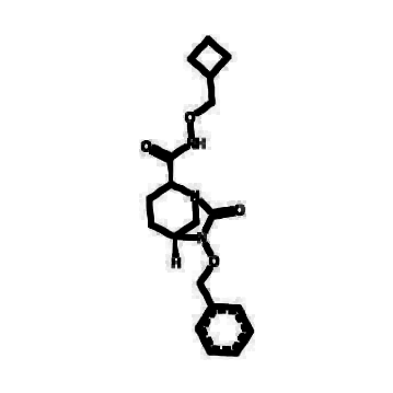 O=C(NOCC1CCC1)[C@@H]1CC[C@@H]2CN1C(=O)N2OCc1ccccc1